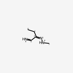 CC/C(C=N)=N/NC